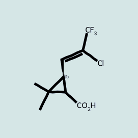 CC1(C)C(C(=O)O)[C@@H]1C=C(Cl)C(F)(F)F